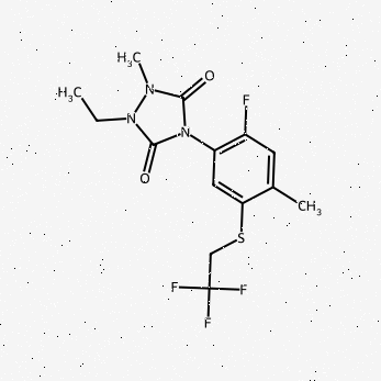 CCn1c(=O)n(-c2cc(SCC(F)(F)F)c(C)cc2F)c(=O)n1C